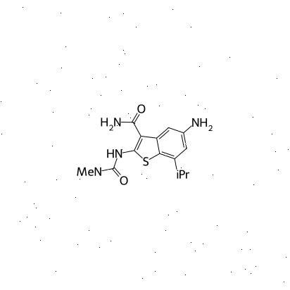 CNC(=O)Nc1sc2c(C(C)C)cc(N)cc2c1C(N)=O